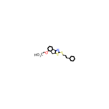 O=C(O)COc1cccc2c1Cc1sc(SC/C=C/c3ccccc3)nc1-2